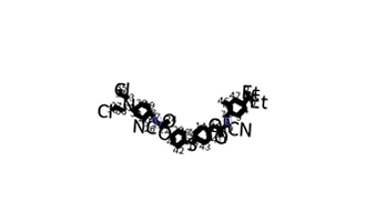 CCN(CC)c1ccc(/C=C(\C#N)C(=O)Oc2ccc(Sc3ccc(OC(=O)/C(C#N)=C/c4ccc(N(CCCl)CCCl)cc4)cc3)cc2)c(C)c1